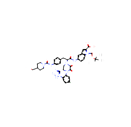 CC(C)(C)OC(=O)n1c(C(=O)O)cc2cc(NC(=O)C(Cc3ccc(NC(=O)N4CCC(CO)CC4)cc3)N3CCN(c4cc(Cl)ccc4-n4cnnn4)C(=O)C3=O)ccc21